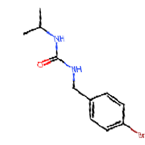 CC(C)NC(=O)NCc1ccc(Br)cc1